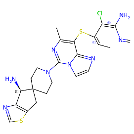 C=N/C(N)=C(Cl)\C(=C/C)Sc1c(C)nc(N2CCC3(CC2)Cc2scnc2[C@H]3N)n2ccnc12